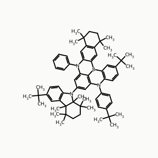 CC(C)(C)c1ccc(N2c3ccc(C(C)(C)C)cc3B3c4cc5c(cc4N(c4ccccc4)c4cc(N6c7ccc(C(C)(C)C)cc7C7(C)C(C)(C)CCC(C)(C)C67C)cc2c43)C(C)(C)CCC5(C)C)cc1